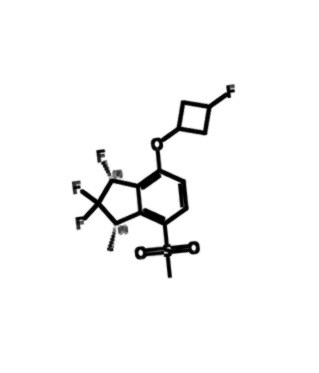 C[C@H]1c2c(S(C)(=O)=O)ccc(OC3CC(F)C3)c2[C@@H](F)C1(F)F